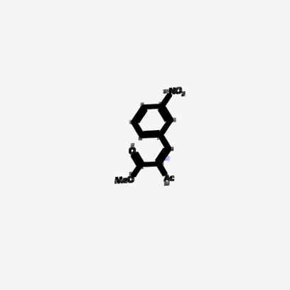 COC(=O)/C(=C\c1cccc([N+](=O)[O-])c1)C(C)=O